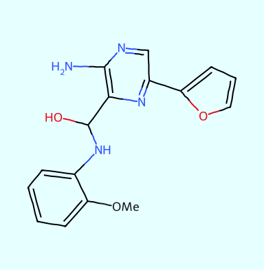 COc1ccccc1NC(O)c1nc(-c2ccco2)cnc1N